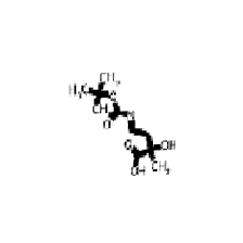 CC(C)(C)OC(=O)N=CCC(C)(O)C(=O)O